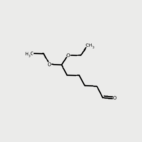 CCOC(CCCCC=O)OCC